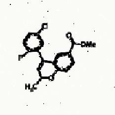 COC(=O)c1ccc2c(c1)C(c1cc(Cl)ccc1F)=CC(C)O2